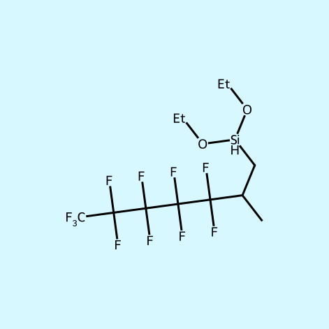 CCO[SiH](CC(C)C(F)(F)C(F)(F)C(F)(F)C(F)(F)C(F)(F)F)OCC